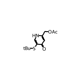 CC(=O)OCc1cc(=O)c(SC(C)(C)C)c[nH]1